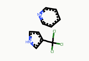 ClC(Cl)(Cl)c1cc[nH]c1.c1ccncc1